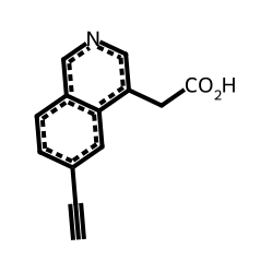 C#Cc1ccc2cncc(CC(=O)O)c2c1